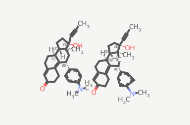 CC#C[C@]1(O)CC[C@H]2[C@@H]3CCC4=CC(=O)CCC4=C3[C@@H](c3ccc(N(C)C)cc3)C[C@@]21C.CC#C[C@]1(O)CC[C@H]2[C@@H]3CCC4=CC(=O)CCC4=C3[C@@H](c3ccc(N(C)C)cc3)C[C@@]21C